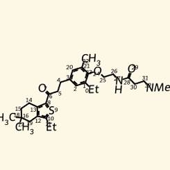 CCc1cc(CCC(=O)c2sc(CC)c3c2CCC(C)(C)C3)cc(C)c1OCCNC(=O)CCNC